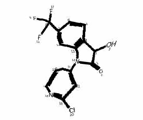 O=C1C(O)c2ccc(C(F)(F)F)cc2N1c1ccnc(Cl)c1